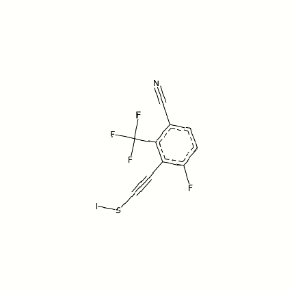 N#Cc1ccc(F)c(C#CSI)c1C(F)(F)F